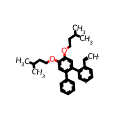 [CH]=Cc1cc[c]cc1-c1cc(OCCC(C)C)c(OCCC(C)C)cc1-c1ccccc1